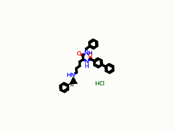 Cl.O=C(NC(CCCCN[C@@H]1C[C@H]1c1ccccc1)C(=O)NCc1ccccc1)c1ccc(-c2ccccc2)cc1